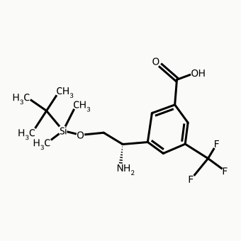 CC(C)(C)[Si](C)(C)OC[C@@H](N)c1cc(C(=O)O)cc(C(F)(F)F)c1